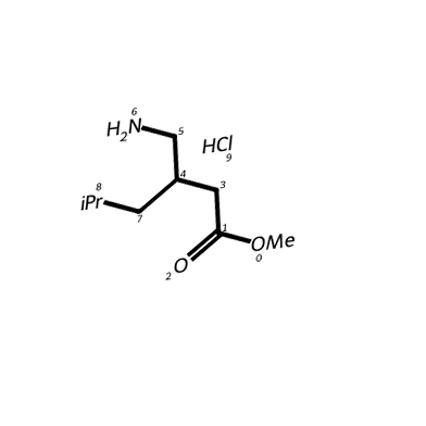 COC(=O)CC(CN)CC(C)C.Cl